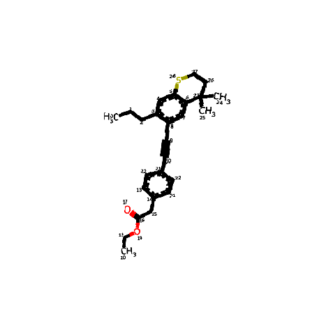 CCCc1cc2c(cc1C#Cc1ccc(CC(=O)OCC)cc1)C(C)(C)CCS2